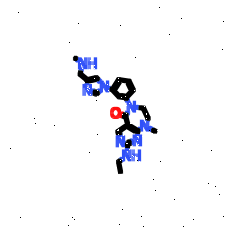 CCNc1ncc2c(n1)N(C)CCN(c1cccc(-n3cnc(CNC)c3)c1)C2=O